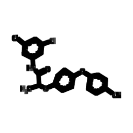 CC(Oc1ccc(Oc2ccc(C#N)cc2)cc1)C(=O)Nc1cc(Cl)cc(Cl)c1